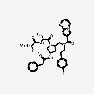 CN[C@@H](C)C(=O)N[C@H](C(=O)N1C[C@@H](NC(=O)Cc2ccccc2)CC1CN(CCc1ccc(F)cc1)C(=O)c1cn2cccnc2n1)C(C)(C)C